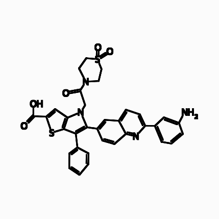 Nc1cccc(-c2ccc3cc(-c4c(-c5ccccc5)c5sc(C(=O)O)cc5n4CC(=O)N4CCS(=O)(=O)CC4)ccc3n2)c1